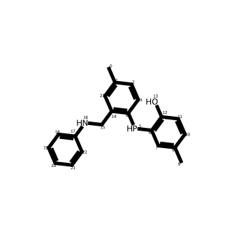 Cc1ccc(Pc2cc(C)ccc2O)c(CNc2ccccc2)c1